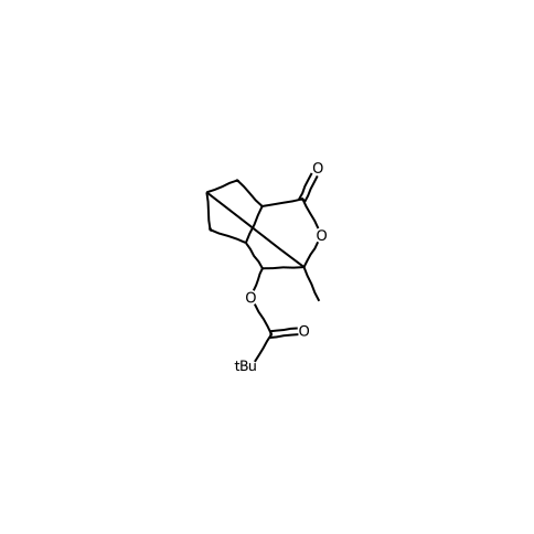 CC(C)(C)C(=O)OC1C2CC3CC2C(=O)OC31C